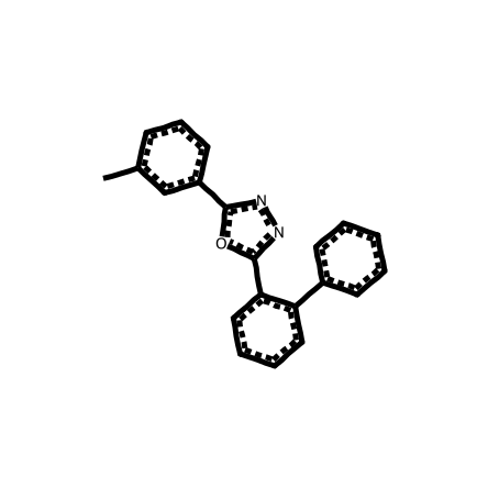 Cc1cccc(-c2nnc(-c3ccccc3-c3ccccc3)o2)c1